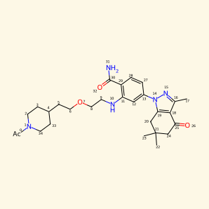 CC(=O)N1CCC(CCOCCNc2cc(-n3nc(C)c4c3CC(C)(C)CC4=O)ccc2C(N)=O)CC1